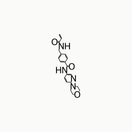 C=CC(=O)NCc1ccc(C(=O)Nc2ccc(N3CCOCC3)nc2)cc1